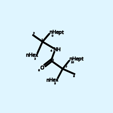 CCCCCCCC(C)(CCCCCC)NC(=O)C(C)(CCCCCC)CCCCCCC